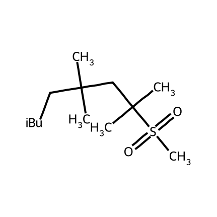 CCC(C)CC(C)(C)CC(C)(C)S(C)(=O)=O